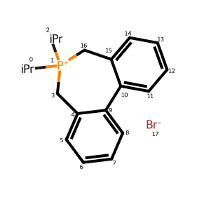 CC(C)[P+]1(C(C)C)Cc2ccccc2-c2ccccc2C1.[Br-]